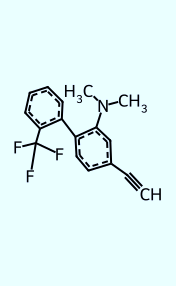 C#Cc1ccc(-c2ccccc2C(F)(F)F)c(N(C)C)c1